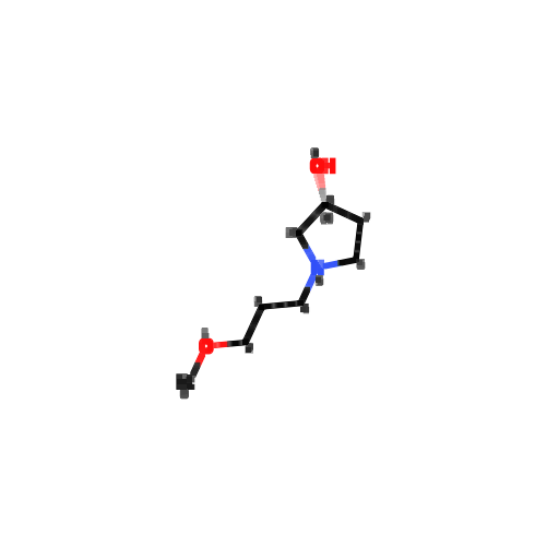 CCOCCCN1CC[C@@H](O)C1